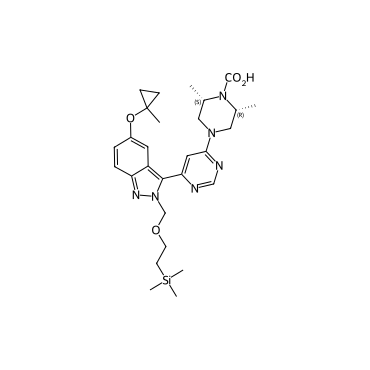 C[C@@H]1CN(c2cc(-c3c4cc(OC5(C)CC5)ccc4nn3COCC[Si](C)(C)C)ncn2)C[C@H](C)N1C(=O)O